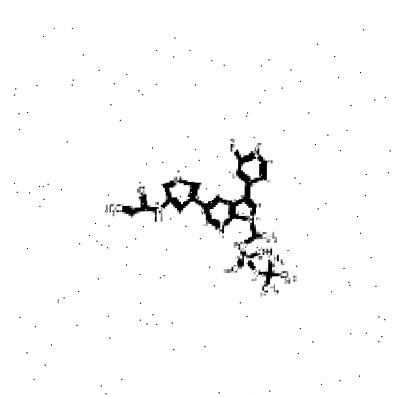 C=CC(=O)Nc1cncc(-c2cnc3c(c2)c(-c2ccnc(F)c2)cn3C(C)OP(=O)(O)OC(C)(C)C)c1